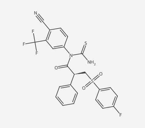 N#Cc1ccc(N(C(=O)[C@@H](CS(=O)(=O)c2ccc(F)cc2)c2ccccc2)C(N)=S)cc1C(F)(F)F